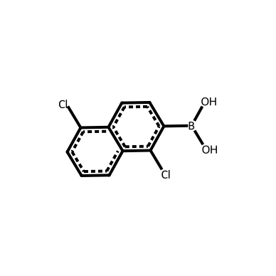 OB(O)c1ccc2c(Cl)cccc2c1Cl